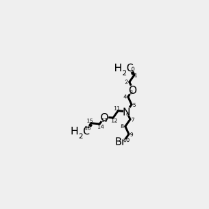 C=CCOCCN(CCCBr)CCOCC=C